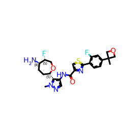 Cn1ncc(NC(=O)c2csc(-c3ccc(C4(C)COC4)cc3F)n2)c1[C@@H]1CC[C@@H](N)[C@H](F)CO1